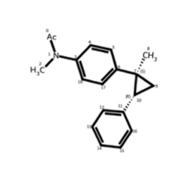 CC(=O)N(C)c1ccc([C@@]2(C)C[C@@H]2c2ccccc2)cc1